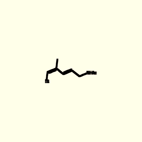 CCC=C(C)C=CCNC(C)=O